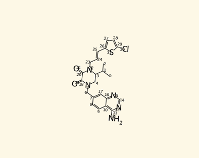 CC(C)C1CN(Cc2ccc3c(N)ncnc3c2)C(=O)C(=O)N1CC=Cc1ccc(Cl)s1